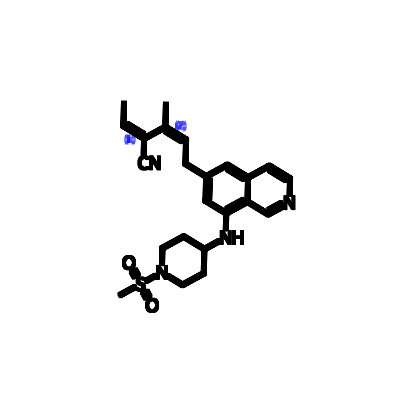 C/C=C(C#N)\C(C)=C/Cc1cc(NC2CCN(S(C)(=O)=O)CC2)c2cnccc2c1